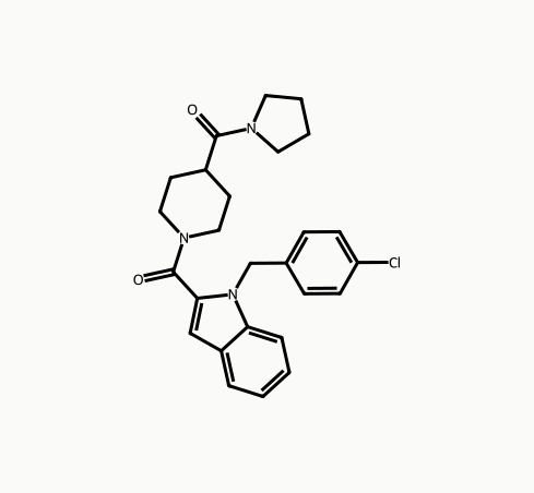 O=C(c1cc2ccccc2n1Cc1ccc(Cl)cc1)N1CCC(C(=O)N2CCCC2)CC1